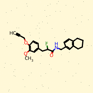 C#CCOc1ccc(CC(F)C(=O)NCc2ccc3c(c2)CCCC3)cc1OC